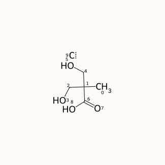 CC(CO)(CO)C(=O)O.[C]